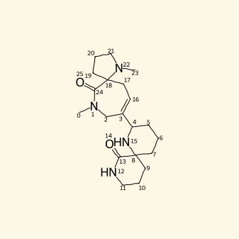 CN1CC(C2CCCC3(CCCNC3=O)N2)=CCC2(CCCN2C)C1=O